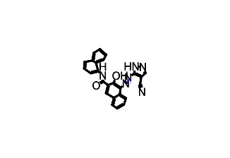 N#Cc1cn[nH]c1/N=N/c1c(O)c(C(=O)Nc2cccc3ccccc23)cc2ccccc12